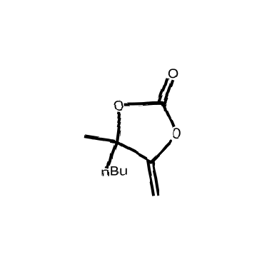 C=C1OC(=O)OC1(C)CCCC